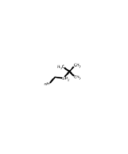 [CH2]CC[CH][SiH2]C(C)(C)C